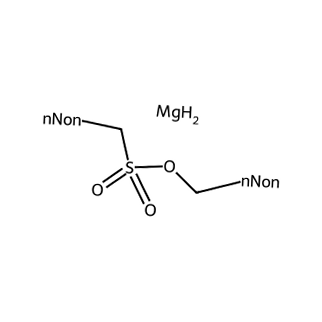 CCCCCCCCCCOS(=O)(=O)CCCCCCCCCC.[MgH2]